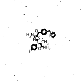 C[C@H](C(N)=O)N(c1ccc(F)cc1)c1nc(N)c(C(=O)c2ccc(Cn3cccn3)cc2)s1